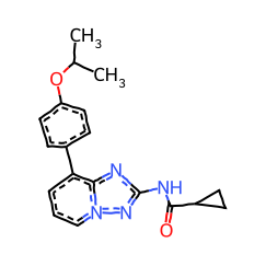 CC(C)Oc1ccc(-c2cccn3nc(NC(=O)C4CC4)nc23)cc1